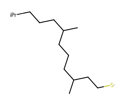 CC(C)CCCC(C)CCCC(C)CC[S]